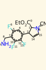 CCOC(=O)C1C(c2cc(F)c(CN)c(F)c2F)C=CN1C#N